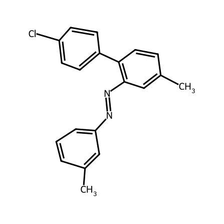 Cc1cccc(/N=N/c2cc(C)ccc2-c2ccc(Cl)cc2)c1